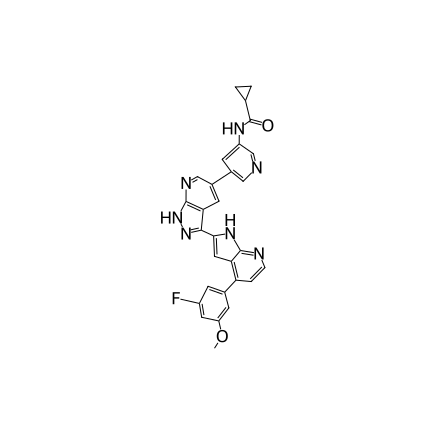 COc1cc(F)cc(-c2ccnc3[nH]c(-c4n[nH]c5ncc(-c6cncc(NC(=O)C7CC7)c6)cc45)cc23)c1